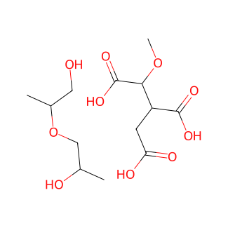 CC(O)COC(C)CO.COC(C(=O)O)C(CC(=O)O)C(=O)O